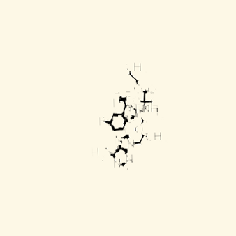 CCCOC(=O)C(C)(C)NP(=O)(CO[C@H](C)Cn1cnc2c(N)ncnc21)N[C@H](c1cccc(F)c1)C(F)(F)F